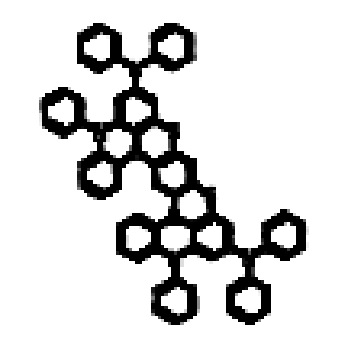 C1=C2Sc3cc(N(c4ccccc4)c4ccccc4)cc4c3B(c3ccccc3N4c3ccccc3)C2CC2=C1Sc1cc(N(c3ccccc3)c3ccccc3)cc3c1B2c1ccccc1N3c1ccccc1